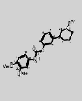 CCCN1CCCC(c2cccc(OC(=O)Nc3ccc(OC)c(OC)c3)c2)C1